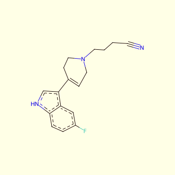 N#CCCCN1CC=C(c2c[nH]c3ccc(F)cc23)CC1